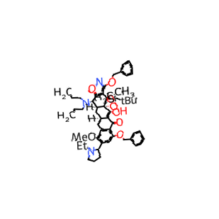 C=CCN(CC=C)[C@@H]1c2onc(OCc3ccccc3)c2C(=O)[C@@]2(O[Si](C)(C)C(C)(C)C)C(O)=C3C(=O)c4c(OCc5ccccc5)cc(C5CCCN5CC)c(OC)c4C[C@H]3C[C@@H]12